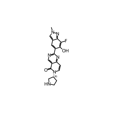 Cn1cc2cc(-c3ncc4c(=O)n([C@@H]5CCNC5)ccc4n3)c(O)c(F)c2n1